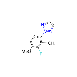 COc1ccc(-n2nccn2)c(C)c1F